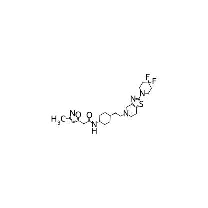 Cc1cc(CC(=O)N[C@H]2CC[C@H](CCN3CCc4sc(N5CCC(F)(F)CC5)nc4C3)CC2)on1